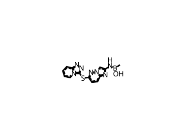 CB(O)Nc1cn2nc(Sc3nnc4ccccn34)ccc2n1